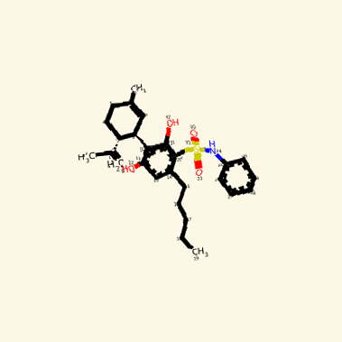 C=C(C)[C@@H]1CCC(C)=C[C@H]1c1c(O)cc(CCCCC)c(S(=O)(=O)Nc2ccccc2)c1O